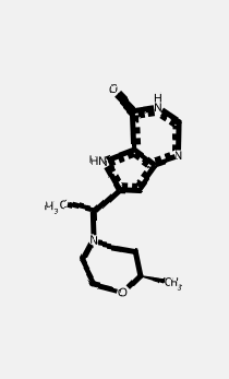 CC(c1cc2nc[nH]c(=O)c2[nH]1)N1CCO[C@H](C)C1